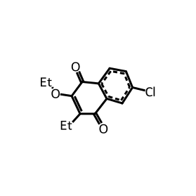 CCOC1=C(CC)C(=O)c2cc(Cl)ccc2C1=O